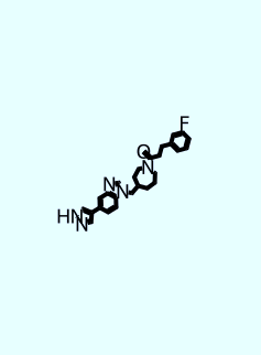 O=C(CCc1cccc(F)c1)N1CCCC(Cn2cnc3cc(-c4cn[nH]c4)ccc32)CC1